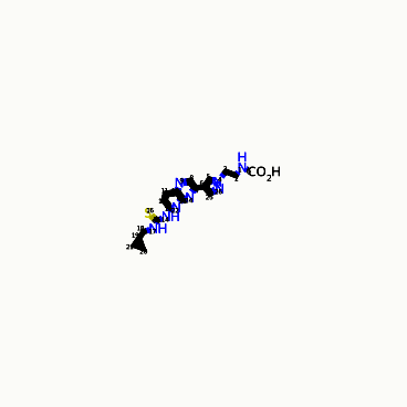 O=C(O)NCCn1cc(-c2cnc3ccc(NC(=S)NCC4CC4)nc3n2)cn1